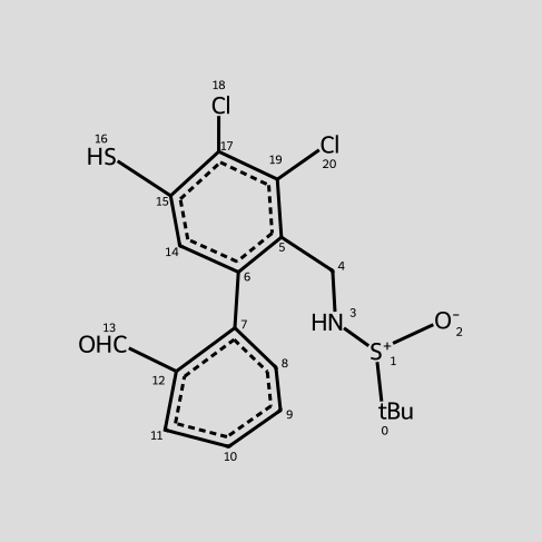 CC(C)(C)[S+]([O-])NCc1c(-c2ccccc2C=O)cc(S)c(Cl)c1Cl